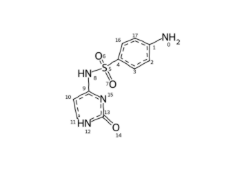 Nc1ccc(S(=O)(=O)Nc2cc[nH]c(=O)n2)cc1